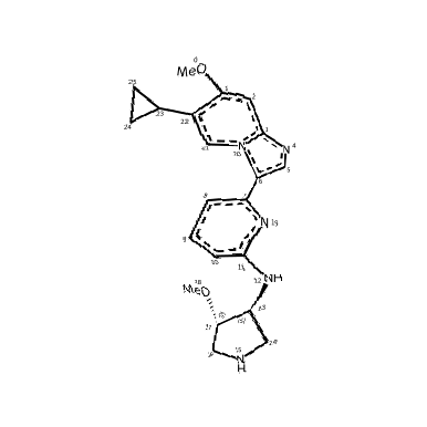 COc1cc2ncc(-c3cccc(N[C@H]4CNC[C@@H]4OC)n3)n2cc1C1CC1